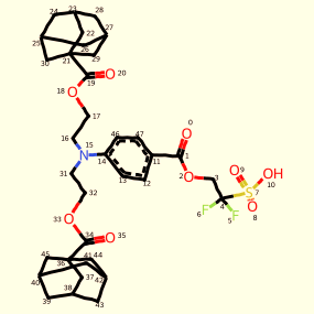 O=C(OCC(F)(F)S(=O)(=O)O)c1ccc(N(CCOC(=O)C23CC4CC(CC(C4)C2)C3)CCOC(=O)C23CC4CC(CC(C4)C2)C3)cc1